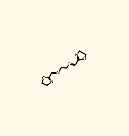 C(=NCCN=CC1=NCCO1)C1=NCCO1